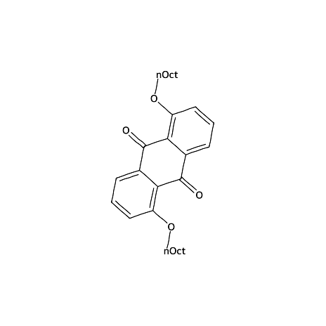 CCCCCCCCOc1cccc2c1C(=O)c1cccc(OCCCCCCCC)c1C2=O